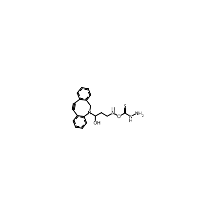 NNC(=S)ONCCC(O)N1Cc2ccccc2C#Cc2ccccc21